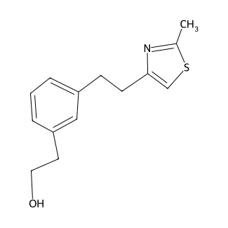 Cc1nc(CCc2cccc(CCO)c2)cs1